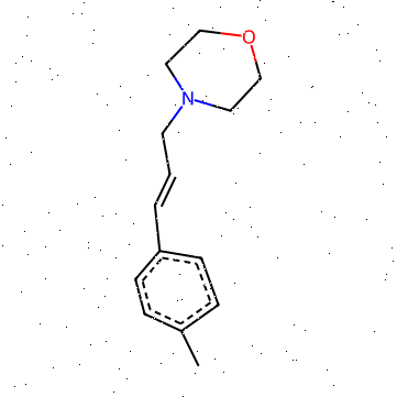 Cc1ccc(/C=C/CN2CCOCC2)cc1